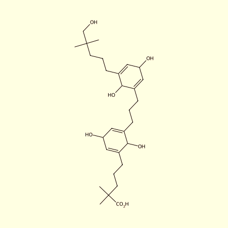 CC(C)(CO)CCCC1=CC(O)C=C(CCCC2=CC(O)C=C(CCCC(C)(C)C(=O)O)C2O)C1O